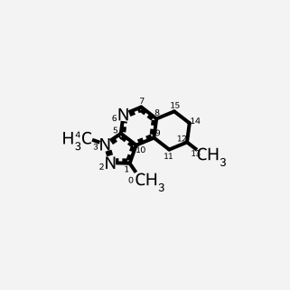 Cc1nn(C)c2ncc3c(c12)CC(C)CC3